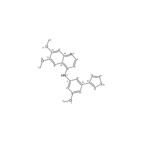 COc1cc(Nc2ccnc3cc(OC)c(OC)cc23)cc(-c2ccsc2)c1